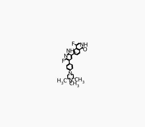 C[C@@H]1CN(c2ccc(-c3cc(-c4ccc5c(=O)[nH]cc(F)c5c4)c(N)nc3F)cc2)C[C@H](C)N1C